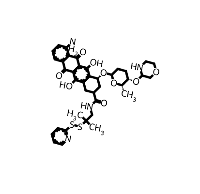 C[C@@H]1OC(O[C@H]2CC(C(=O)NCC(C)(C)SSc3ccccn3)Cc3c(O)c4c(c(O)c32)C(=O)c2c(N)cccc2C4=O)CC[C@@H]1OC1COCCN1